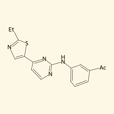 CCc1ncc(-c2ccnc(Nc3cccc(C(C)=O)c3)n2)s1